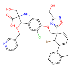 Cc1ccccc1C1=CC=CC(COc2ccc(C(OCc3cccnc3)C(N)(CO)C(=O)O)cc2Cl)(c2nc(CO)no2)C1Br